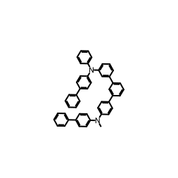 CN(c1ccc(-c2ccccc2)cc1)c1ccc(-c2cccc(-c3cccc(N(c4ccccc4)c4ccc(-c5ccccc5)cc4)c3)c2)cc1